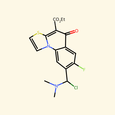 CCOC(=O)c1c(=O)c2cc(F)c(C(Cl)N(C)C)cc2n2ccsc12